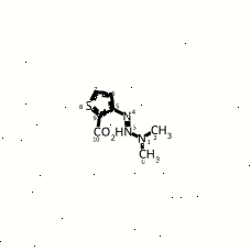 CN(C)N=Nc1ccsc1C(=O)O